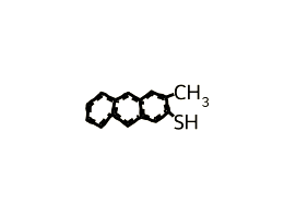 Cc1cc2cc3ccccc3cc2cc1S